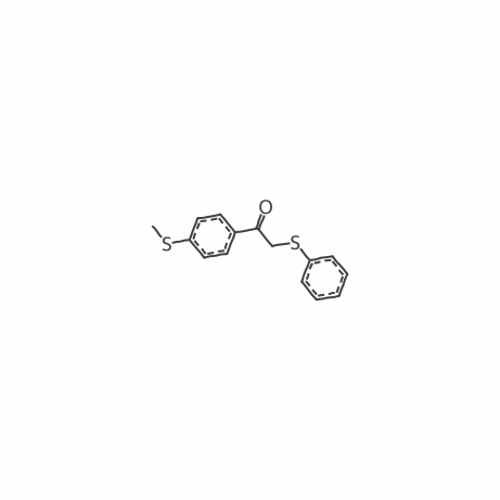 CSc1ccc(C(=O)CSc2ccccc2)cc1